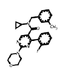 Cc1cccc(CN(C(=O)c2cnc(N3CCOCC3)nc2-c2ccccc2F)C2CC2)c1